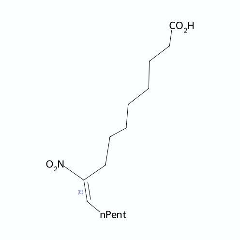 CCCCC/C=C(\CCCCCCCC(=O)O)[N+](=O)[O-]